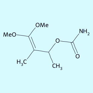 COC(OC)=C(C)C(C)OC(N)=O